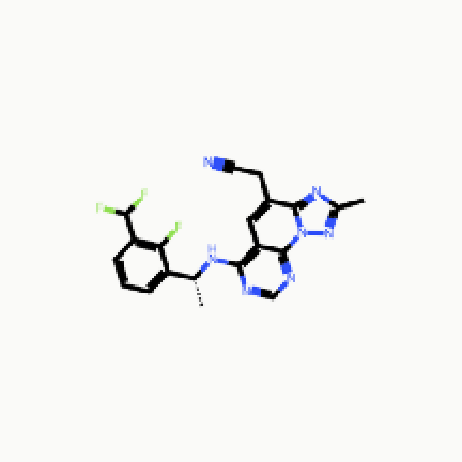 Cc1nc2c(CC#N)cc3c(N[C@H](C)c4cccc(C(F)F)c4F)ncnc3n2n1